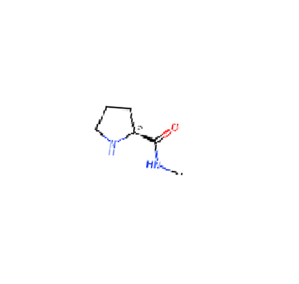 [CH2]NC(=O)[C@@H]1CCCN1